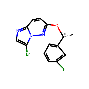 C[C@@H](Oc1ccc2ncc(Br)n2n1)c1cccc(F)c1